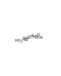 CC1CC2(CCN(c3cnc(C(=O)O)cn3)CC2)CN1c1ccc(C#N)c(Cl)c1